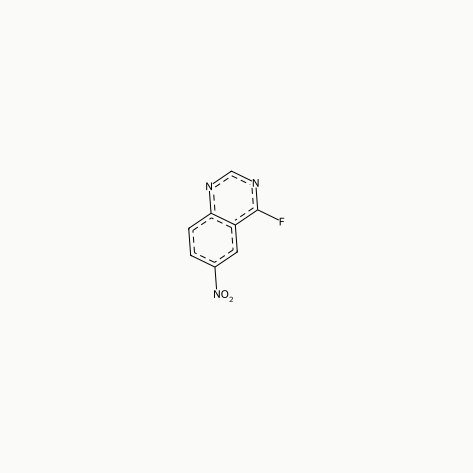 O=[N+]([O-])c1ccc2ncnc(F)c2c1